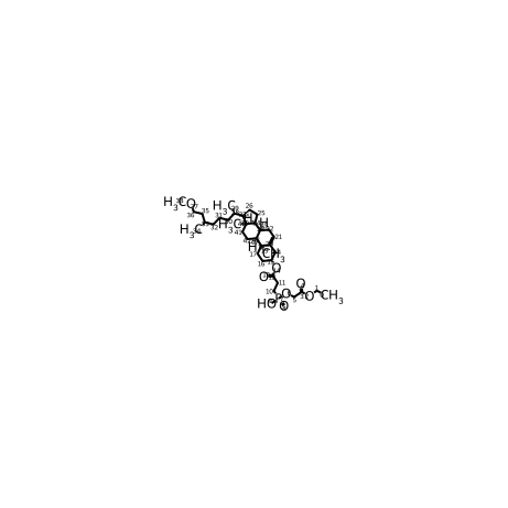 CCOC(=O)COP(=O)(O)CCC(=O)O[C@H]1CC[C@@]2(C)C(=CC[C@H]3[C@@H]4CC[C@H]([C@H](C)CCCC(C)CCOC)[C@@]4(C)CC[C@@H]32)C1